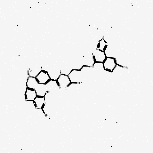 Cc1ccc(C(=O)NCCC[C@H](NC(=O)c2ccc(N(C)Cc3cnc4nc(N)nc(N)c4n3)cc2)C(=O)O)c(-c2nn[nH]n2)c1